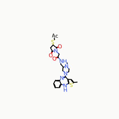 CC(=O)CSC1CC(=O)N(CC(=O)NCC2CN(C3=Nc4ccccc4Nc4sc(C)cc43)CCN2C)C1=O